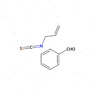 C=CCN=C=S.O=Cc1ccccc1